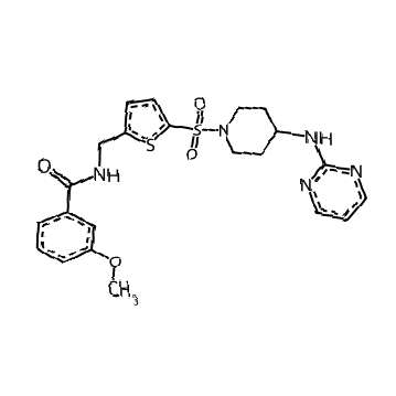 COc1cccc(C(=O)NCc2ccc(S(=O)(=O)N3CCC(Nc4ncccn4)CC3)s2)c1